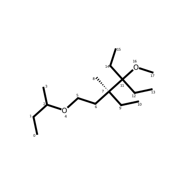 CCC(C)OCC[C@](C)(CC)C(CC)(CC)OC